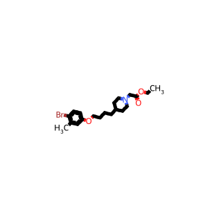 CCOC(=O)CN1CCC(CCCCOc2ccc(Br)c(C)c2)CC1